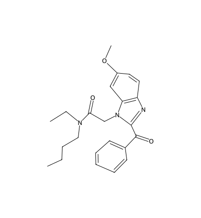 CCCCN(CC)C(=O)Cn1c(C(=O)c2ccccc2)nc2ccc(OC)cc21